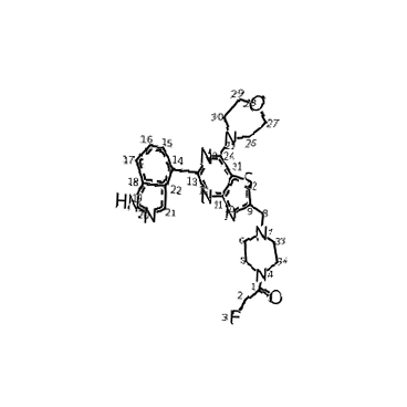 O=C(CF)N1CCN(Cc2nc3nc(-c4cccc5[nH]ncc45)nc(N4CCOCC4)c3s2)CC1